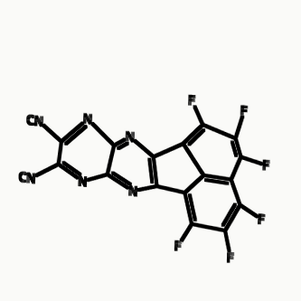 [C-]#[N+]c1nc2nc3c(nc2nc1[N+]#[C-])-c1c(F)c(F)c(F)c2c(F)c(F)c(F)c-3c12